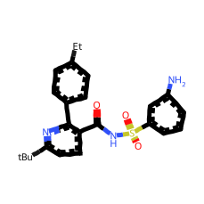 CCc1ccc(-c2nc(C(C)(C)C)ccc2C(=O)NS(=O)(=O)c2cccc(N)c2)cc1